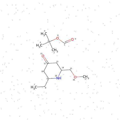 CC(C)(C)OC=O.CCC1CC(=O)CC(COC)N1